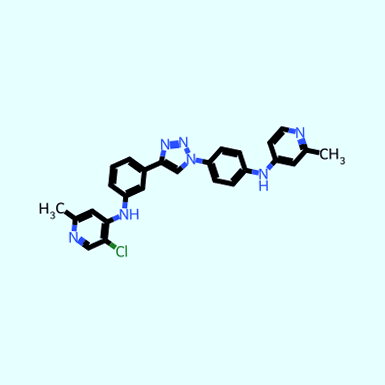 Cc1cc(Nc2ccc(-n3cc(-c4cccc(Nc5cc(C)ncc5Cl)c4)nn3)cc2)ccn1